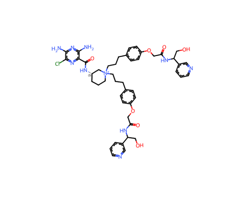 Nc1nc(N)c(C(=O)N[C@H]2CCC[N+](CCCc3ccc(OCC(=O)NC(CO)c4cccnc4)cc3)(CCCc3ccc(OCC(=O)NC(CO)c4cccnc4)cc3)C2)nc1Cl